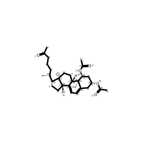 CC(=O)CCC[C@@H](C)[C@H]1CC[C@H]2C3=CC=C4C[C@@H](OC(C)=O)C[C@H](OC(C)=O)[C@]4(C)[C@H]3CC[C@]12C